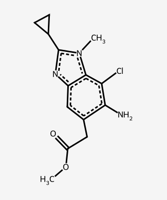 COC(=O)Cc1cc2nc(C3CC3)n(C)c2c(Cl)c1N